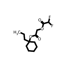 CCCC1(OC(=O)COC(=O)C(F)F)CCCCC1